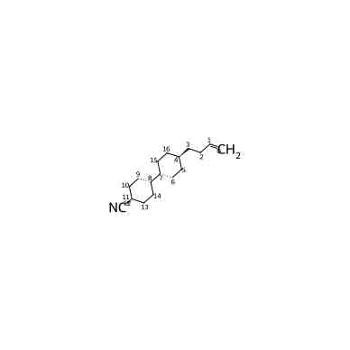 C=CCC[C@H]1CC[C@H]([C@H]2CC[C@H](C#N)CC2)CC1